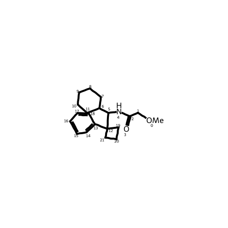 COCC(=O)NC(C1CCCCC1)C1(c2ccccc2)CCC1